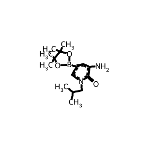 CC(C)Cn1cc(B2OC(C)(C)C(C)(C)O2)cc(N)c1=O